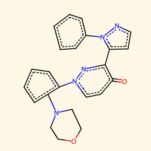 O=c1ccn(-c2ccccc2N2CCOCC2)nc1-c1ccnn1-c1ccccc1